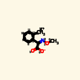 CON=C(C(=O)[O-])c1ccccc1C.[K+]